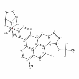 CC(C)(O)Cn1nnc2cc(-c3ccc(C(=O)N4C5CCC4CC(N)C5)cc3-c3ccc(C#N)c(F)c3)c(F)c(C(F)F)c21